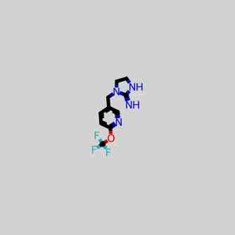 N=C1NCCN1Cc1ccc(OC(F)(F)F)nc1